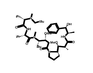 CCC(C)[C@@H]([C@@H](CC(=O)N1CCC[C@H]1[C@H](OC)[C@@H](C)C(=O)N[C@H](C)[C@@H](O)c1ccccc1)OC)N(C)C(=O)[C@@H](NC(=O)[C@H](C(C)C)N(C)CC(C)(C)C)C(C)C